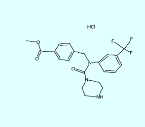 COC(=O)c1ccc(CN(C(=O)N2CCNCC2)c2cccc(C(F)(F)F)c2)cc1.Cl